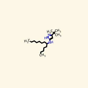 CCCCCCCC(CCCCC)Nc1cc(C(C)(C)C)n[nH]1